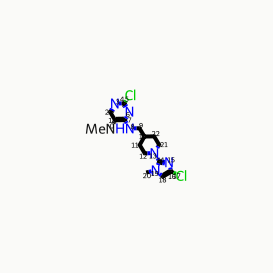 CNc1cnc(Cl)nc1NCC1CCN(c2nc(Cl)cn2C)CC1